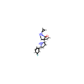 CCC(CC)(C(=O)NC1CC1)[C@H]1CC[C@@H](c2cccc(F)c2)N1